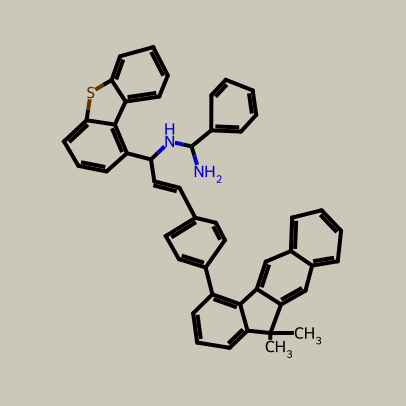 CC1(C)c2cc3ccccc3cc2-c2c(-c3ccc(/C=C/C(NC(N)c4ccccc4)c4cccc5sc6ccccc6c45)cc3)cccc21